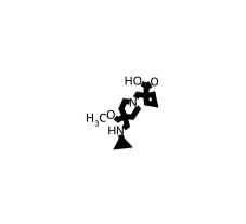 COCC1(CNC2CC2)CCN(CC2(C(=O)O)CCC2)CC1